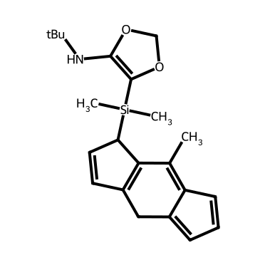 CC1=C2C=CC=C2CC2=C1C([Si](C)(C)C1=C(NC(C)(C)C)OCO1)C=C2